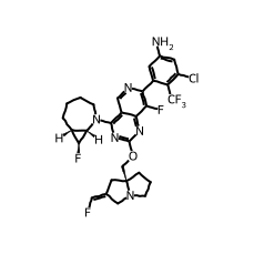 Nc1cc(Cl)c(C(F)(F)F)c(-c2ncc3c(N4CCCC[C@H]5[C@H](F)[C@H]54)nc(OC[C@@]45CCCN4C/C(=C\F)C5)nc3c2F)c1